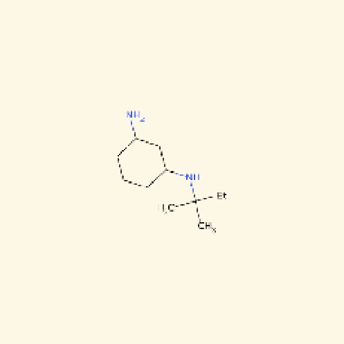 CCC(C)(C)NC1CCCC(N)C1